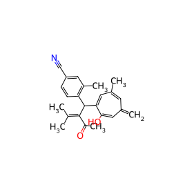 C=C1C=C(C)C=C(C(C(C(C)=O)=C(C)C)c2ccc(C#N)cc2C)C(O)=C1